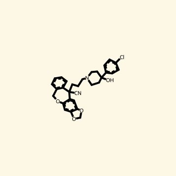 N#CC1(CCCN2CCC(O)(c3ccc(Cl)cc3)CC2)c2ccccc2COc2cc3c(cc21)OCO3